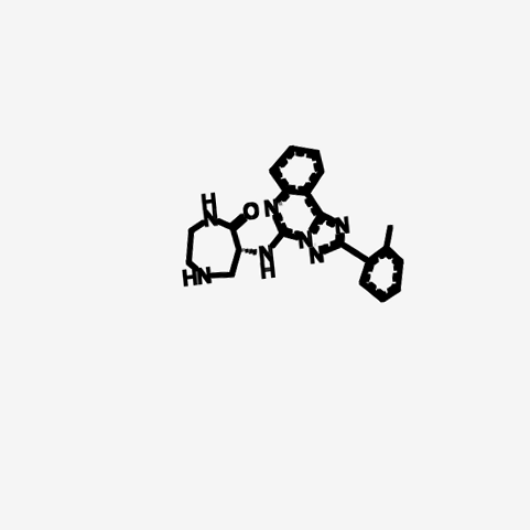 Cc1ccccc1-c1nc2c3ccccc3nc(N[C@@H]3CNCCNC3=O)n2n1